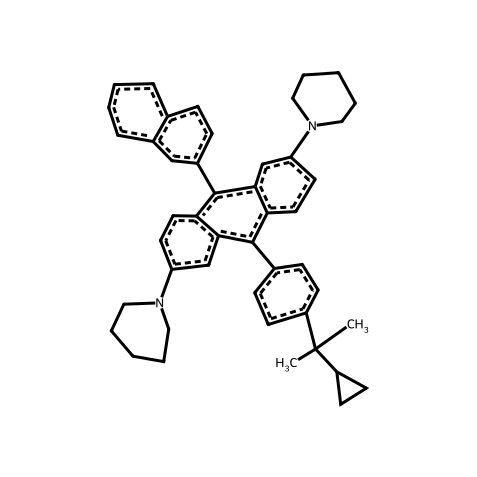 CC(C)(c1ccc(-c2c3ccc(N4CCCCC4)cc3c(-c3ccc4ccccc4c3)c3ccc(N4CCCCC4)cc23)cc1)C1CC1